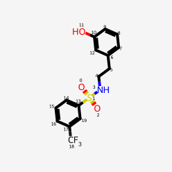 O=S(=O)(NCCc1cccc(O)c1)c1cccc(C(F)(F)F)c1